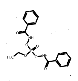 CCOP(=O)(ONC(=O)c1ccccc1)ONC(=O)c1ccccc1